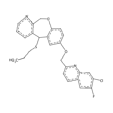 O=C(O)CCSC1c2cc(OCc3ccc4cc(F)c(Cl)cc4n3)ccc2OCc2ncccc21